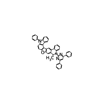 CC1c2cc3oc4ccc5c(c6ccccc6n5-c5ccccc5)c4c3cc2-c2ccccc2[C@H]1c1nc(-c2ccccc2)cc(-c2ccccc2)n1